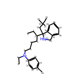 CCC(CCCCN(CC)c1ccc(C)cc1)C1(CC(C)(C)C)NCc2ccccc21